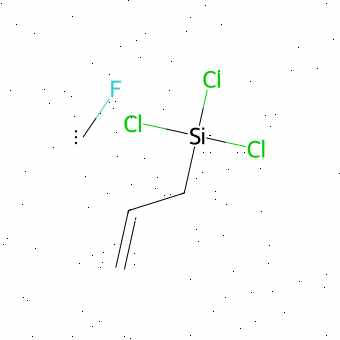 C=CC[Si](Cl)(Cl)Cl.[C]F